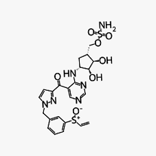 C=C[S+]([O-])c1cccc(Cn2ccc(C(=O)c3cncnc3N[C@@H]3C[C@H](COS(N)(=O)=O)[C@@H](O)[C@H]3O)n2)c1